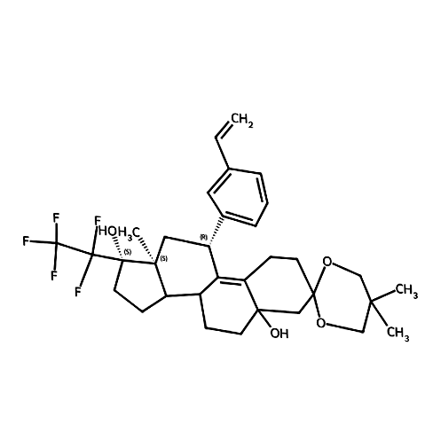 C=Cc1cccc([C@H]2C[C@@]3(C)C(CC[C@@]3(O)C(F)(F)C(F)(F)F)C3CCC4(O)CC5(CCC4=C32)OCC(C)(C)CO5)c1